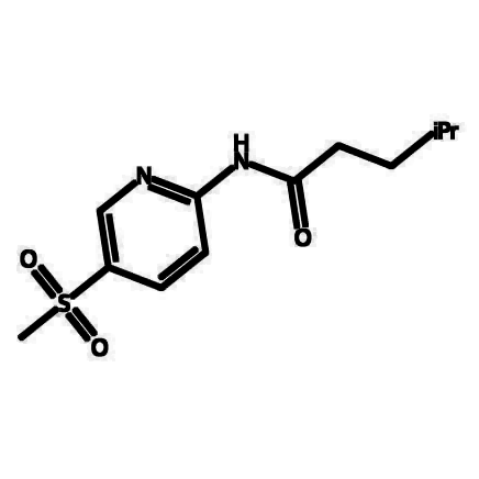 CC(C)CCC(=O)Nc1ccc(S(C)(=O)=O)cn1